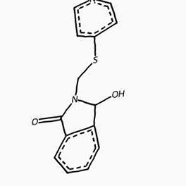 O=C1c2ccccc2C(O)N1CSc1ccncc1